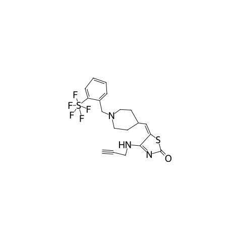 C#CCNC1=NC(=O)SC1=CC1CCN(Cc2ccccc2S(F)(F)(F)(F)F)CC1